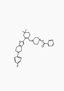 CC1(C)CCC(CN2CCN(OC(=O)c3ccccc3)CC2)=C(c2cc3c(s2)CCN(c2ccc(F)cc2)C3)C1